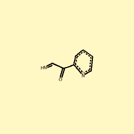 N=CC(=O)c1ccccn1